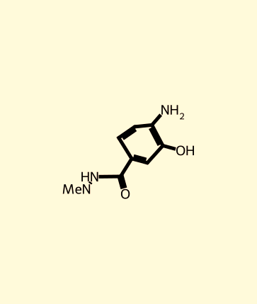 CNNC(=O)c1ccc(N)c(O)c1